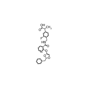 CC(C(=O)O)c1ccc(CNC(=O)c2cccnc2OC2=COC(Cc3ccccc3)O2)c(F)c1